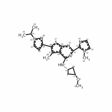 CO[C@H]1C[C@H](Nc2nc(-c3nccn3C)nc3sc(-c4ccn(C(C)C)n4)c(C)c23)C1